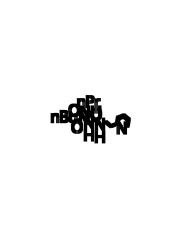 CCCCC(=O)N(NC(=O)CCC)NC(=O)NCCc1ccccn1